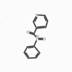 O=C(c1cccnc1)[PH](=O)c1ccccc1